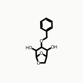 OC1C2COC(O2)C(O)C1OCc1ccccc1